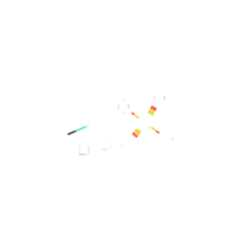 CF.O=S(=O)([O-])[O-].[Li+].[Li+]